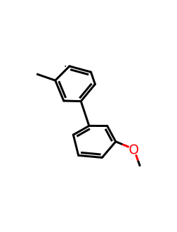 COc1cccc(-c2cc[c]c(C)c2)c1